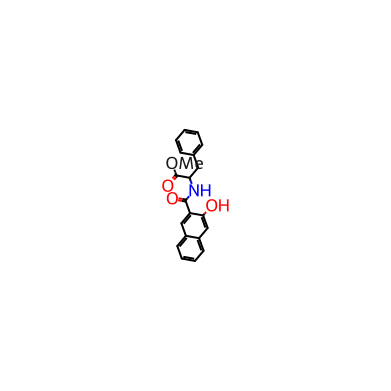 COC(=O)C(Cc1ccccc1)NC(=O)c1cc2ccccc2cc1O